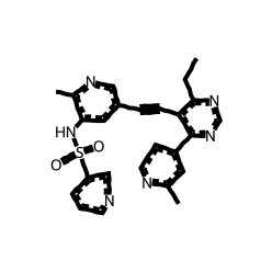 CCc1ncnc(-c2ccnc(C)c2)c1C#Cc1cnc(C)c(NS(=O)(=O)c2cccnc2)c1